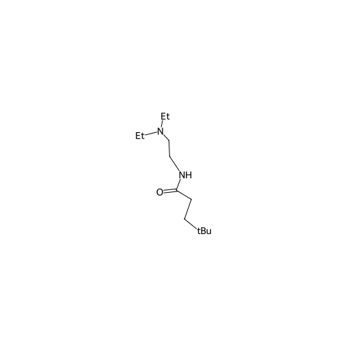 CCN(CC)CCNC(=O)CCC(C)(C)C